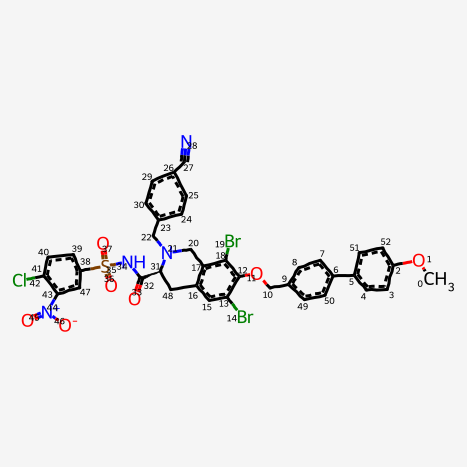 COc1ccc(-c2ccc(COc3c(Br)cc4c(c3Br)CN(Cc3ccc(C#N)cc3)[C@H](C(=O)NS(=O)(=O)c3ccc(Cl)c([N+](=O)[O-])c3)C4)cc2)cc1